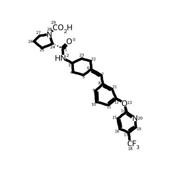 O=C(NC1CCC(=Cc2cccc(Oc3ccc(C(F)(F)F)cn3)c2)CC1)[C@@H]1CCCN1C(=O)O